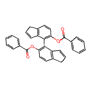 O=C(Oc1ccc2c(c1-c1c(OC(=O)c3ccccc3)ccc3c1C=CC3)C=CC2)c1ccccc1